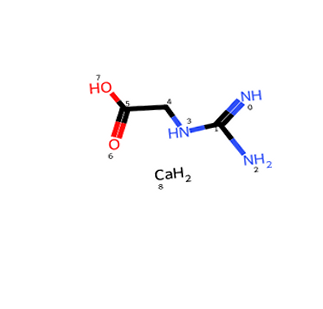 N=C(N)NCC(=O)O.[CaH2]